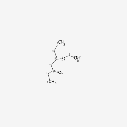 CCC(=O)CC(CC)SCO